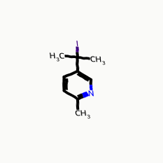 Cc1ccc(C(C)(C)I)cn1